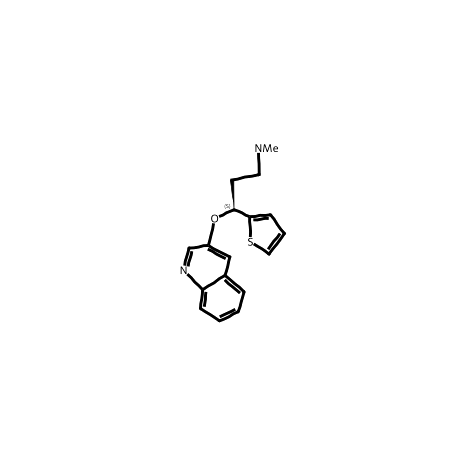 CNCC[C@H](Oc1cnc2ccccc2c1)c1cccs1